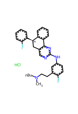 CCCCN(C)CCc1cc(Nc2ncc3c(n2)-c2ccccc2[C@H](c2ccccc2F)C3)ccc1F.Cl